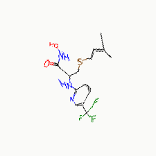 CC(C)=CCSCC(Nc1ccc(C(F)(F)F)cn1)C(=O)NO